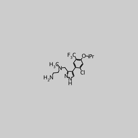 CC(C)Oc1cc(Cl)c(-c2c[nH]nc2CN(C)CCN)cc1C(F)(F)F